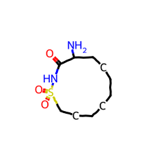 NC1CCCCCCCCS(=O)(=O)NC1=O